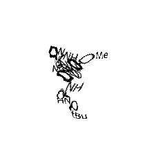 COc1cc(Nc2nc3ccccc3nc2NS(=O)(=O)c2cccc(NC(=O)CNC(=O)CC(C)(C)C)c2)cc(OC)c1